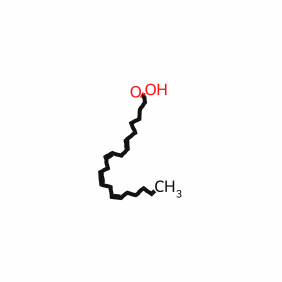 CCCCC/C=C\C/C=C\C/C=C\C/C=C/CCCCCC(=O)O